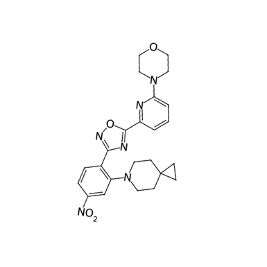 O=[N+]([O-])c1ccc(-c2noc(-c3cccc(N4CCOCC4)n3)n2)c(N2CCC3(CC2)CC3)c1